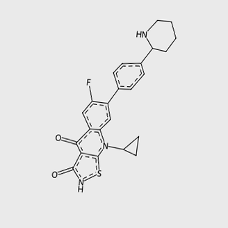 O=c1[nH]sc2c1c(=O)c1cc(F)c(-c3ccc(C4CCCCN4)cc3)cc1n2C1CC1